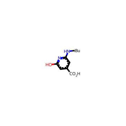 CCC(C)Nc1cc(C(=O)O)cc(O)n1